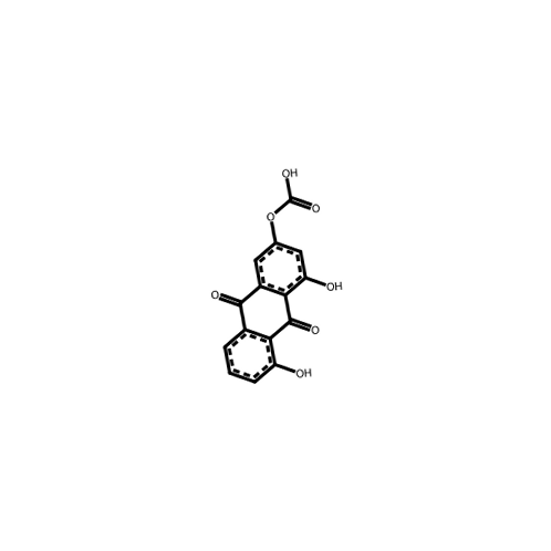 O=C(O)Oc1cc(O)c2c(c1)C(=O)c1cccc(O)c1C2=O